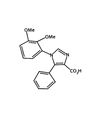 COc1cccc(-n2cnc(C(=O)O)c2-c2ccccc2)c1OC